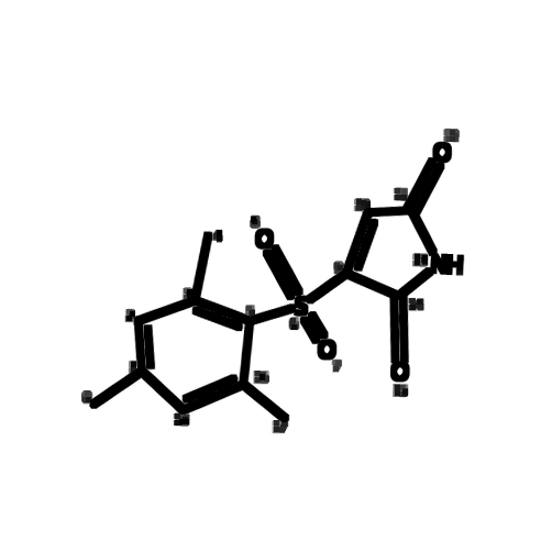 Cc1cc(C)c(S(=O)(=O)C2=CC(=O)NC2=O)c(C)c1